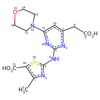 Cc1nc(Nc2nc(CC(=O)O)cc(N3CCOCC3)n2)sc1C(=O)O